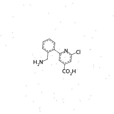 NCc1ccccc1-c1cc(C(=O)O)cc(Cl)n1